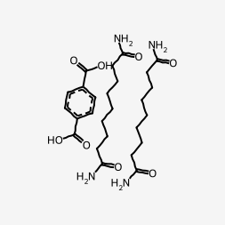 NC(=O)CCCCCCCC(N)=O.NC(=O)CCCCCCCC(N)=O.O=C(O)c1ccc(C(=O)O)cc1